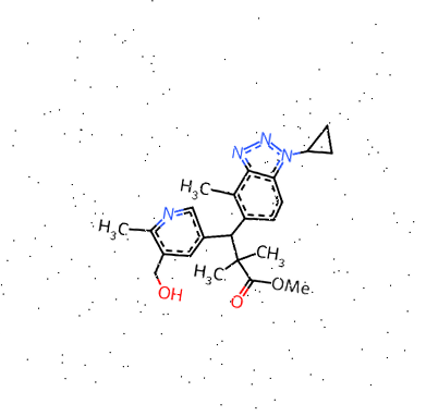 COC(=O)C(C)(C)C(c1cnc(C)c(CO)c1)c1ccc2c(nnn2C2CC2)c1C